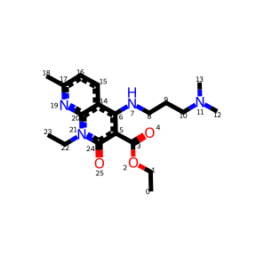 CCOC(=O)c1c(NCCCN(C)C)c2ccc(C)nc2n(CC)c1=O